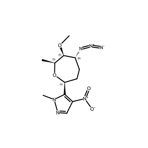 CO[C@@H]1[C@H](C)O[C@H](c2c([N+](=O)[O-])cnn2C)CC[C@H]1N=[N+]=[N-]